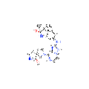 CC1(C)C(=O)Nc2cc(Nc3nc4c(N5CCC6(CCNC6=O)C5)nccn4n3)ccc21